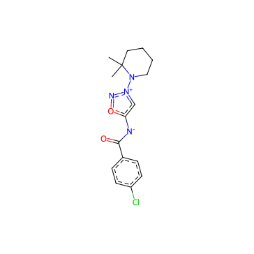 CC1(C)CCCCN1[n+]1cc([N-]C(=O)c2ccc(Cl)cc2)on1